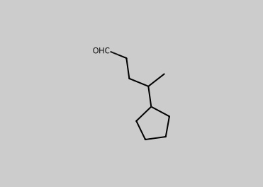 CC(CCC=O)C1CCCC1